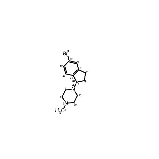 CN1CCN([C@@H]2CCc3cc(Br)ccc32)CC1